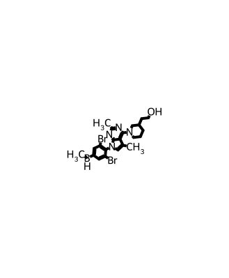 CBc1cc(Br)c(-n2cc(C)c3c(N4CCCC(CCO)C4)nc(C)nc32)c(Br)c1